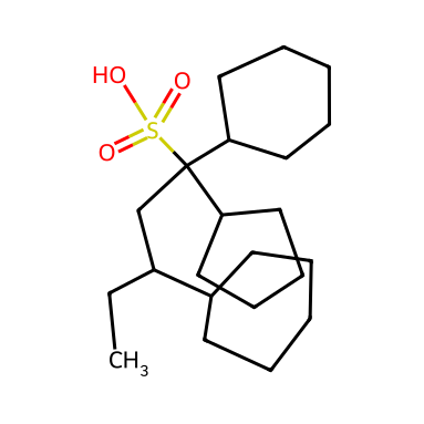 CCC(CC(C1CCCCC1)(C1CCCC1)S(=O)(=O)O)C1CCCCC1